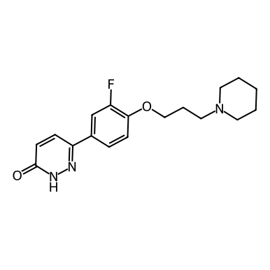 O=c1ccc(-c2ccc(OCCCN3CCCCC3)c(F)c2)n[nH]1